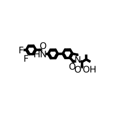 CC(C)C(C(=O)O)N1Cc2ccc(-c3ccc(NC(=O)c4ccc(F)c(F)c4)cc3)cc2C1=O